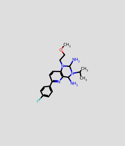 COCCN1c2ccc(-c3ccc(F)cc3)nc2C(N)N(C(C)C)C1N